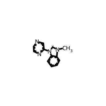 CN1[C]N(c2cnccn2)c2ccccc21